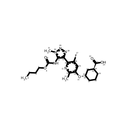 CCCCOC(=O)Nc1c(-c2nc(C)c(O[C@H]3CCC[C@H](C(=O)O)C3)cc2F)nnn1C